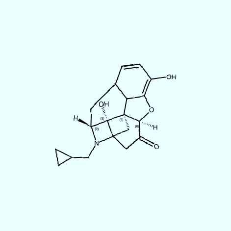 O=C1CC23C[C@@]45C6C(=C(O)C=CC6C[C@@H](N2CC2CC2)[C@]34O)O[C@@H]15